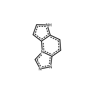 c1cc2c(ccc3nncn32)[nH]1